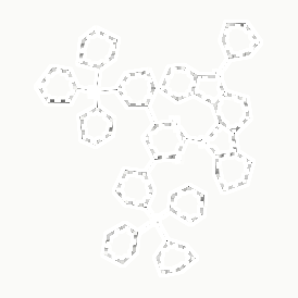 c1ccc(-n2c3ccccc3c3c2ccc2c4ccccc4n(-c4nc(-c5cccc([Si](c6ccccc6)(c6ccccc6)c6ccccc6)c5)cc(-c5cccc([Si](c6ccccc6)(c6ccccc6)c6ccccc6)c5)n4)c23)cc1